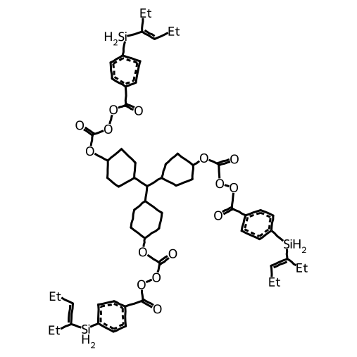 CCC=C(CC)[SiH2]c1ccc(C(=O)OOC(=O)OC2CCC(C(C3CCC(OC(=O)OOC(=O)c4ccc([SiH2]C(=CCC)CC)cc4)CC3)C3CCC(OC(=O)OOC(=O)c4ccc([SiH2]C(=CCC)CC)cc4)CC3)CC2)cc1